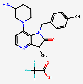 C[C@H]1C(=O)N(Cc2ccc(C#N)cc2)c2c(N3CCCC(N)C3)ccnc21.O=C(O)C(F)(F)F